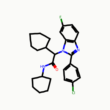 O=C(NC1CCCCC1)C(C1CCCCC1)n1c(-c2ccc(Cl)cc2)nc2ccc(F)cc21